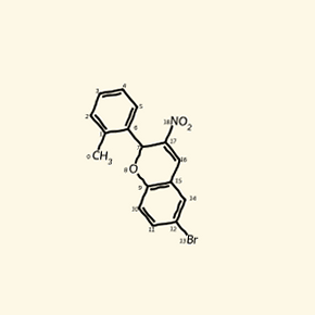 Cc1ccccc1C1Oc2ccc(Br)cc2C=C1[N+](=O)[O-]